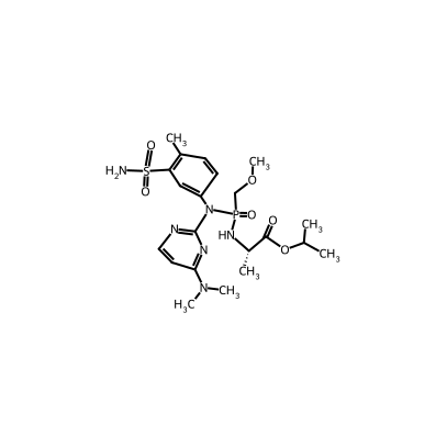 COCP(=O)(N[C@@H](C)C(=O)OC(C)C)N(c1ccc(C)c(S(N)(=O)=O)c1)c1nccc(N(C)C)n1